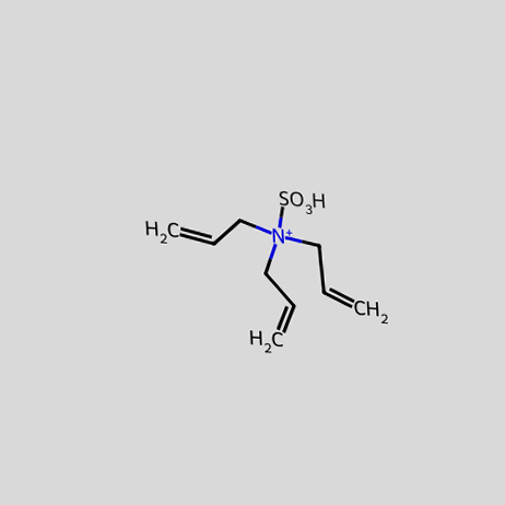 C=CC[N+](CC=C)(CC=C)S(=O)(=O)O